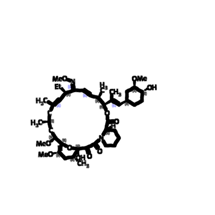 CC[C@@H]1/C=C(\C)C[C@H](C)C[C@H](OC)[C@H]2O[C@@](O)(C(=O)C(=O)N3CCCC[C@H]3C(=O)O[C@H](/C(C)=C/[C@@H]3CC[C@@H](O)[C@H](OC)C3)[C@H](C)/C=C/C1=N/OC)[C@H](C)C[C@@H]2OC